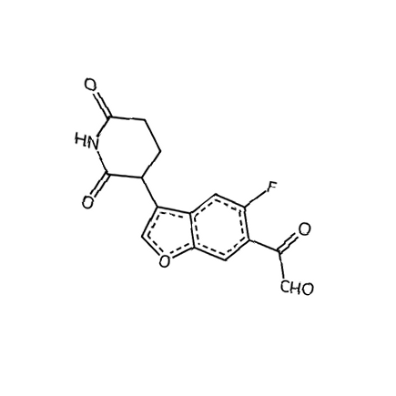 O=CC(=O)c1cc2occ(C3CCC(=O)NC3=O)c2cc1F